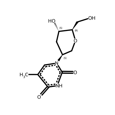 Cc1cn([C@@H]2CO[C@H](CO)[C@@H](O)C2)c(=O)[nH]c1=O